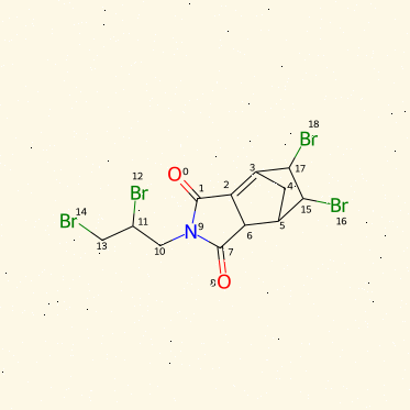 O=C1C2=C3CC(C2C(=O)N1CC(Br)CBr)C(Br)C3Br